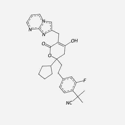 CC(C)(C#N)c1ccc(CCC2(C3CCCC3)CC(O)=C(Cc3cn4cccnc4n3)C(=O)O2)cc1F